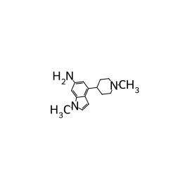 CN1CCC(c2cc(N)cc3c2ccn3C)CC1